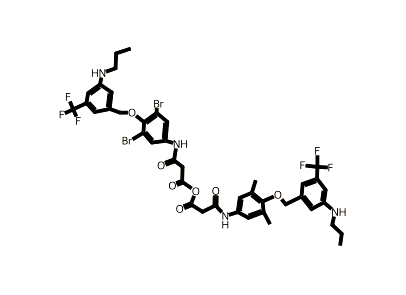 CCCNc1cc(COc2c(C)cc(NC(=O)CC(=O)OC(=O)CC(=O)Nc3cc(Br)c(OCc4cc(NCCC)cc(C(F)(F)F)c4)c(Br)c3)cc2C)cc(C(F)(F)F)c1